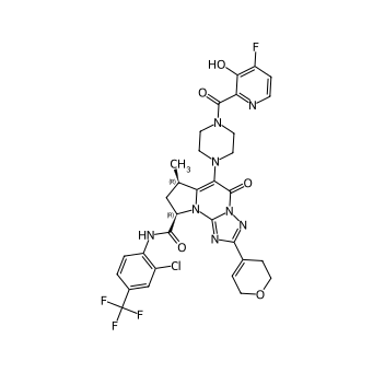 C[C@@H]1C[C@H](C(=O)Nc2ccc(C(F)(F)F)cc2Cl)n2c1c(N1CCN(C(=O)c3nccc(F)c3O)CC1)c(=O)n1nc(C3=CCOCC3)nc21